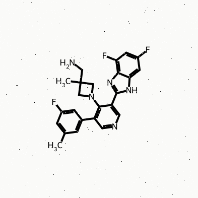 Cc1cc(F)cc(-c2cncc(-c3nc4c(F)cc(F)cc4[nH]3)c2N2CC(C)(CN)C2)c1